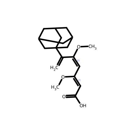 C=C(/C(=C\C(=C\C(=O)O)OC)OC)C12CC3CC(CC(C3)C1)C2